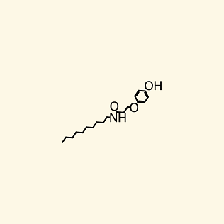 CCCCCCCCCCNC(=O)CCOc1ccc(O)cc1